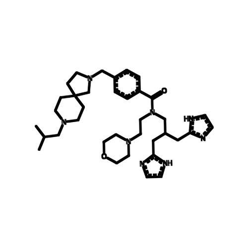 CC(C)CN1CCC2(CC1)CCN(Cc1ccc(C(=O)N(CCN3CCOCC3)CC(Cc3ncc[nH]3)Cc3ncc[nH]3)cc1)C2